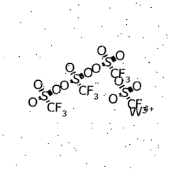 O=S(=O)([O-])C(F)(F)F.O=S(=O)([O-])C(F)(F)F.O=S(=O)([O-])C(F)(F)F.O=S(=O)([O-])C(F)(F)F.[W+4]